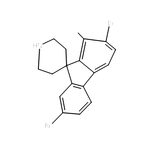 Cc1c(Br)ccc2c1C1(CCNCC1)c1cc(Br)ccc1-2